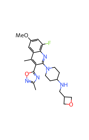 COc1cc(F)c2nc(N3CCC(NCC4COC4)CC3)c(-c3nc(C)no3)c(C)c2c1